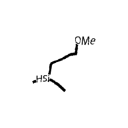 COCC[SiH](C)C